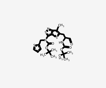 Cc1c(CC(C=O)NC(=O)OC(C)(C)C)sc2c(N(Cc3cccs3)C(=O)OC(C)(C)C)snc12